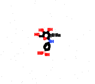 CC(=O)N[C@@H]1C(Nc2ccc(B(O)O)cc2)OC(CO)C(O)C1O